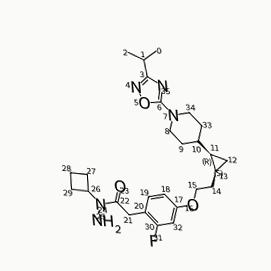 CC(C)c1noc(N2CCC([C@H]3C[C@H]3CCOc3ccc(CC(=O)N(N)C4CCC4)c(F)c3)CC2)n1